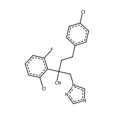 N#CC(CCc1ccc(Cl)cc1)(Cn1cncn1)c1c(F)cccc1Cl